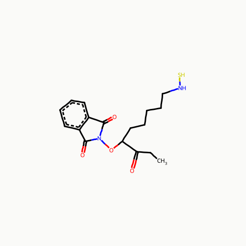 CCC(=O)C(CCCCCNS)ON1C(=O)c2ccccc2C1=O